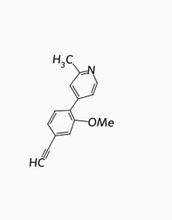 C#Cc1ccc(-c2ccnc(C)c2)c(OC)c1